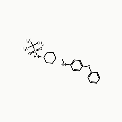 CC(C)(C)S(=O)(=O)N[C@H]1CC[C@H](CNc2ccc(Oc3ccccc3)cc2)CC1